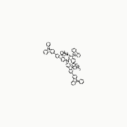 CC1(C)c2cc(-c3ccc4c(c3)c3ccccc3n4-c3ccccc3)ccc2-c2ccc(N(c3ccc4c(c3)C(C)(C)c3cc(-c5ccc6c(c5)c5ccccc5n6-c5ccccc5)ccc3-4)c3ccc(-n4c5ccccc5c5ccccc54)c4ccccc34)cc21